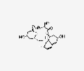 CCCC(CCC)C(=O)O[C@H]1C[C@H](O)C=C2C=C[C@H](C)[C@H](CC[C@@H]3C[C@@H](O)CC(=O)O3)[C@H]21